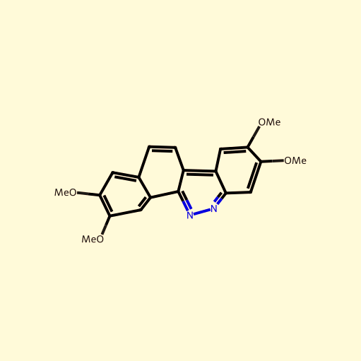 COc1cc2ccc3c4cc(OC)c(OC)cc4nnc3c2cc1OC